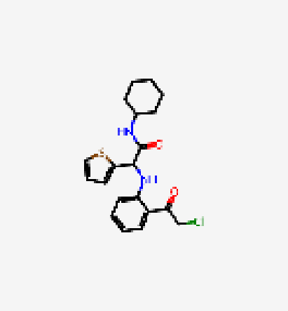 O=C(CCl)c1ccccc1NC(C(=O)NC1CCCCC1)c1cccs1